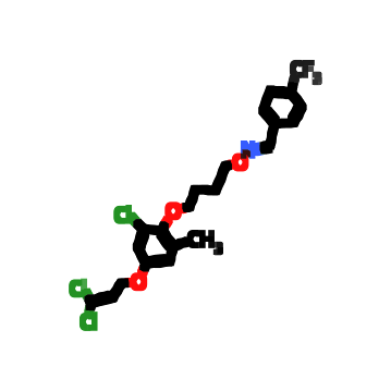 Cc1cc(OCC=C(Cl)Cl)cc(Cl)c1OCCCCON=Cc1ccc(C(F)(F)F)cc1